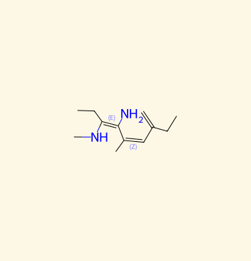 C=C(/C=C(C)\C(N)=C(\CC)NC)CC